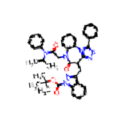 CC(C)N(C(=O)CN1C(=O)C(Cc2nn(C(=O)OC(C)(C)C)c3ccccc23)c2nnc(-c3ccccc3)n2-c2ccccc21)c1ccccc1